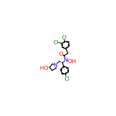 O=C(Cc1ccc(Cl)c(Cl)c1)N(O)[C@H](CN1CC[C@H](O)C1)c1ccc(Cl)cc1